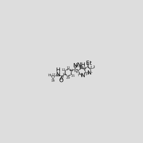 CCC1=C(C)[N]c2ncc3c(-c4ccc(C(=O)NC5CC5)cc4)n[nH]c3c21